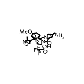 COc1ccc(C23Cn4cc(CN)cc4C(=O)N2CCN3C(=O)c2conc2C)cc1.O=C(O)C(F)(F)F